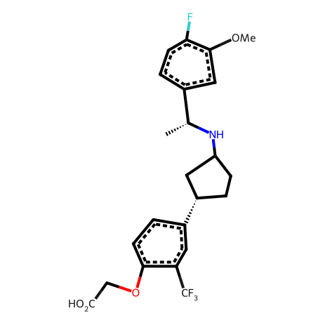 COc1cc([C@@H](C)NC2CC[C@H](c3ccc(OCC(=O)O)c(C(F)(F)F)c3)C2)ccc1F